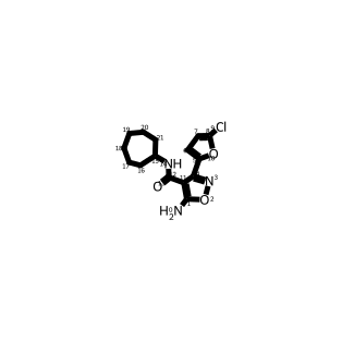 Nc1onc(-c2ccc(Cl)o2)c1C(=O)NC1CCCCCC1